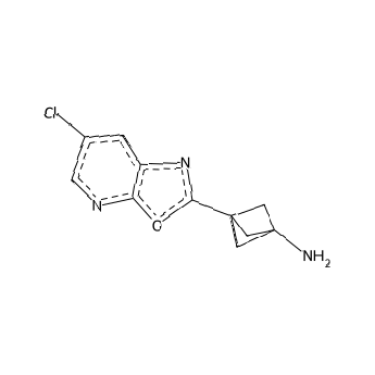 NC12CC(c3nc4cc(Cl)cnc4o3)(C1)C2